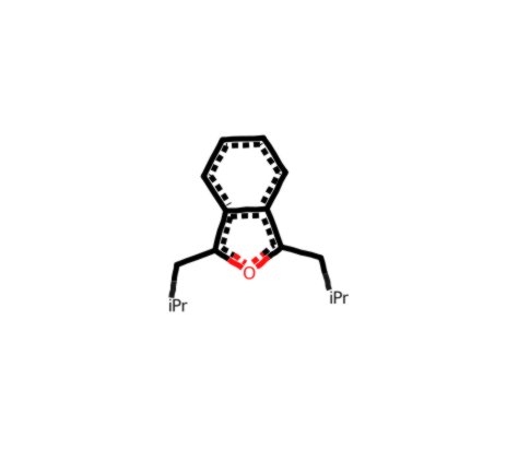 CC(C)Cc1oc(CC(C)C)c2ccccc12